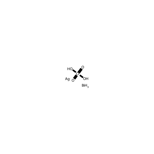 [Ag].[BiH3].[O]=[Cr](=[O])([OH])[OH]